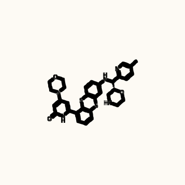 Cc1ccc(C(Nc2ccc3c(c2)Sc2cccc(-c4cc(N5CCOCC5)cc(=O)[nH]4)c2S3)[C@H]2CNCCO2)nc1